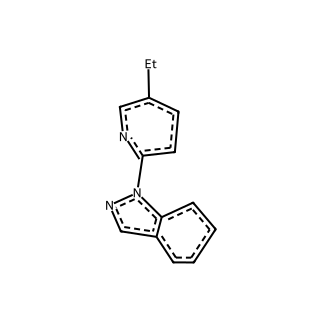 CCc1ccc(-n2ncc3ccccc32)nc1